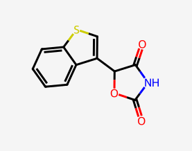 O=C1NC(=O)C(c2csc3ccccc23)O1